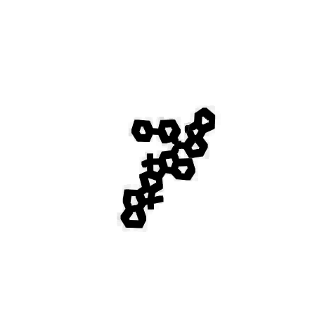 CC1(C)c2cc3c(cc2-c2c1cc(N(c1cccc(-c4ccccc4)c1)c1cccc4c1oc1ccccc14)c1ccccc21)C(C)(C)c1c-3ccc2ccccc12